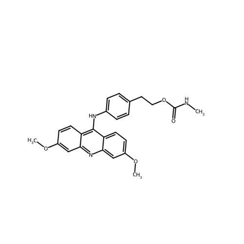 CNC(=O)OCCc1ccc(Nc2c3ccc(OC)cc3nc3cc(OC)ccc23)cc1